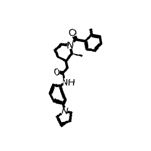 Cc1ccccc1C(=O)N1CCCC(CC(=O)Nc2cccc(N3CCCC3)c2)[C@@H]1C